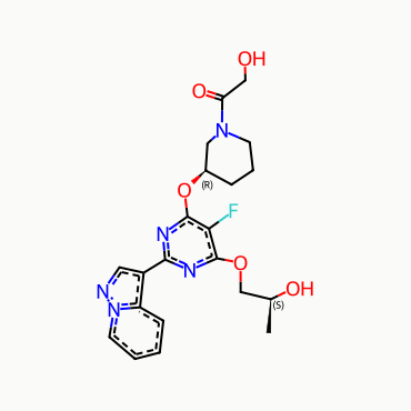 C[C@H](O)COc1nc(-c2cnn3ccccc23)nc(O[C@@H]2CCCN(C(=O)CO)C2)c1F